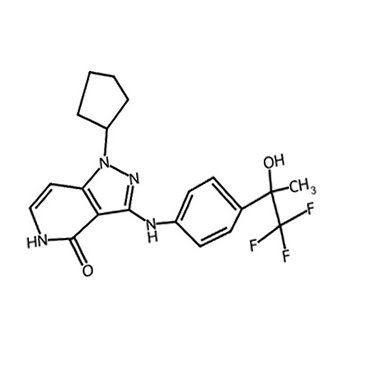 CC(O)(c1ccc(Nc2nn(C3CCCC3)c3cc[nH]c(=O)c23)cc1)C(F)(F)F